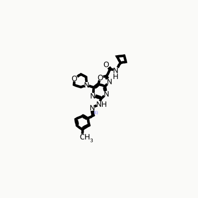 Cc1cccc(/C=N/Nc2nc(N3CCOCC3)c3oc(C(=O)NC4CCC4)nc3n2)c1